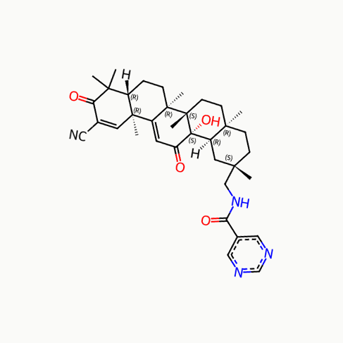 CC1(C)C(=O)C(C#N)=C[C@]2(C)C3=CC(=O)[C@]4(O)[C@@H]5C[C@@](C)(CNC(=O)c6cncnc6)CC[C@]5(C)CC[C@@]4(C)[C@]3(C)CC[C@@H]12